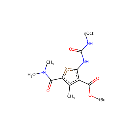 CCCCCCCCNC(=O)Nc1sc(C(=O)N(C)C)c(C)c1C(=O)OC(C)(C)C